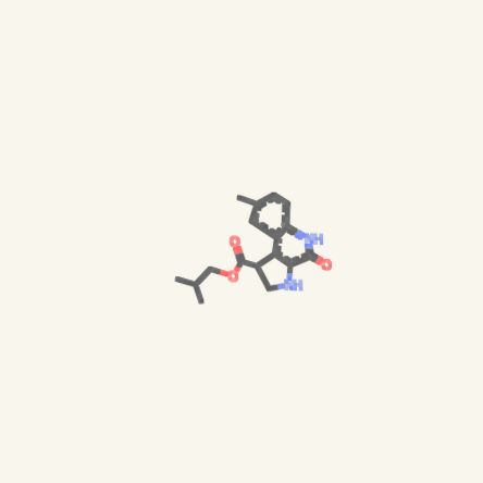 Cc1ccc2[nH]c(=O)c3c(c2c1)C(C(=O)OCC(C)C)CN3